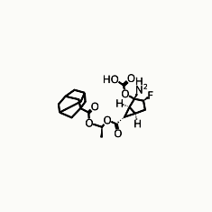 C[C@H](OC(=O)[C@H]1[C@@H]2C[C@H](F)[C@@](N)(OC(=O)O)[C@@H]21)OC(=O)C12CC3CC(CC(C3)C1)C2